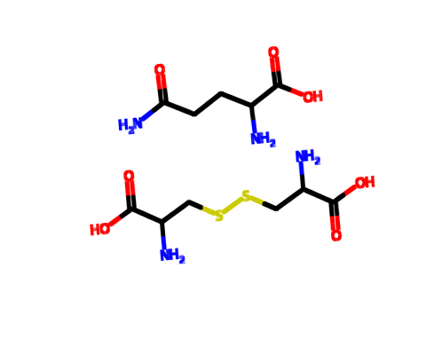 NC(=O)CCC(N)C(=O)O.NC(CSSCC(N)C(=O)O)C(=O)O